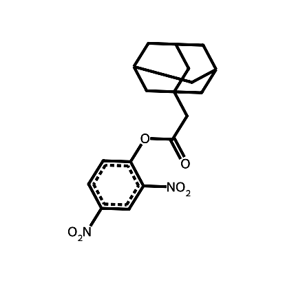 O=C(CC12CC3CC(CC(C3)C1)C2)Oc1ccc([N+](=O)[O-])cc1[N+](=O)[O-]